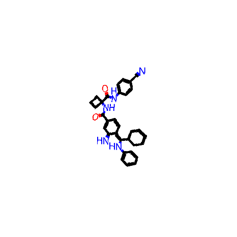 N#Cc1ccc(NC(=O)C2(NC(=O)C3=CC(=N)/C(=C(\Nc4ccccc4)C4CCCCC4)C=C3)CCC2)cc1